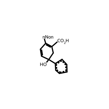 CCCCCCCCCC1=C(C(=O)O)CC(O)(c2ccccc2)C=C1